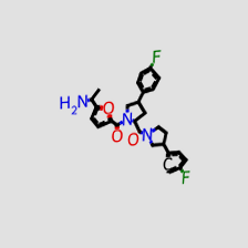 CC(N)c1ccc(C(=O)N2CC(c3ccc(F)cc3)CC2C(=O)N2CCC(c3ccc(F)cc3)C2)o1